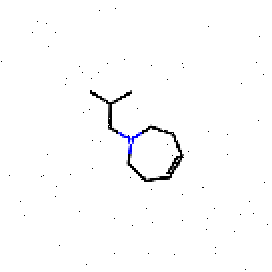 C[C](C)CN1CCC=CCC1